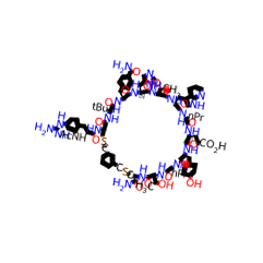 CCC[C@@H]1NC(=O)[C@H](Cc2c[nH]c3ncccc23)NC(=O)[C@H]([C@@H](C)O)NC(=O)[C@H](Cc2cnc[nH]2)NC(=O)[C@H](Cc2ccc(C(N)=O)cc2)NC(=O)[C@H](C(C)(C)C)NC(=O)[C@@H](NC(=O)[C@H](Cc2ccc(NC(=N)N)cc2)NC(C)=O)CSCc2cccc(c2)CSC[C@@H](C(N)=O)NC(=O)[C@H]([C@@H](C)O)NC(=O)[C@H](CCC)NC(=O)[C@H](Cc2ccc(O)cc2)NC(=O)[C@H](CCC(=O)O)NC1=O